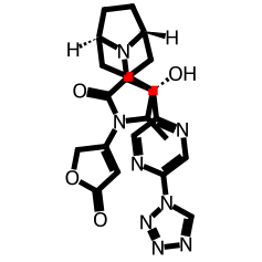 CC1CC2(C[C@H]3CC[C@H](C2)N3C[C@H](O)c2cnc(-n3cnnn3)cn2)C(=O)N1C1=CC(=O)OC1